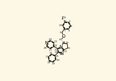 Fc1cccc(COC[C@@H]2CCc3nc(-c4ccccc4)c(-c4ccncc4)n32)c1